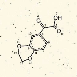 O=C(O)C(=O)c1ccc2c(c1)OCCO2